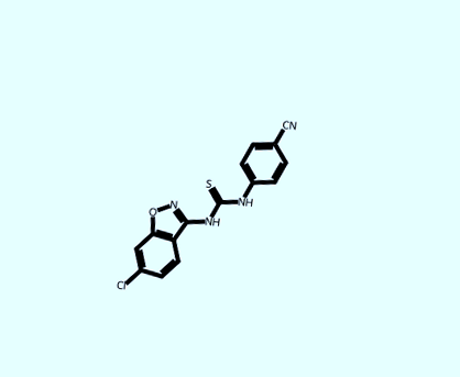 N#Cc1ccc(NC(=S)Nc2noc3cc(Cl)ccc23)cc1